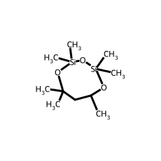 CC1CC(C)(C)O[Si](C)(C)O[Si](C)(C)O1